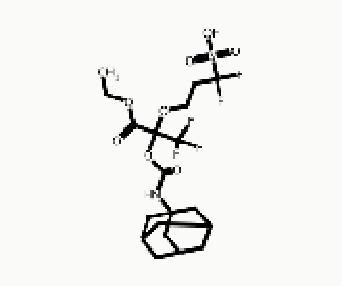 CCOC(=O)C(OCCC(F)(F)S(=O)(=O)O)(OC(=O)NC12CC3CC(CC(C3)C1)C2)C(F)(F)F